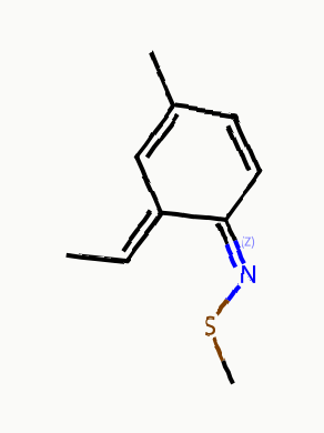 CC=C1C=C(C)C=C/C1=N/SC